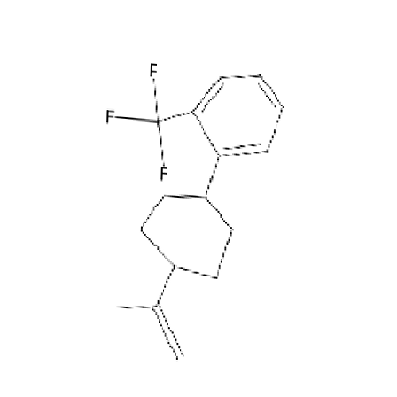 C=C(C)C1CCC(c2ccccc2C(F)(F)F)CC1